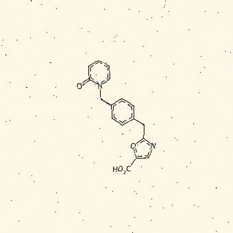 O=C(O)c1cnc(Cc2ccc(Cn3ccccc3=O)cc2)o1